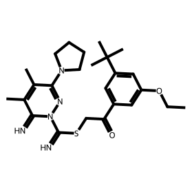 CCOc1cc(C(=O)CSC(=N)n2nc(N3CCCC3)c(C)c(C)c2=N)cc(C(C)(C)C)c1